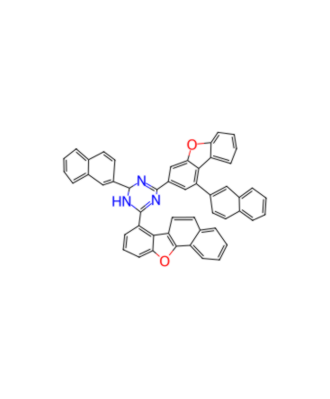 c1ccc2cc(-c3cc(C4=NC(c5ccc6ccccc6c5)NC(c5cccc6oc7c8ccccc8ccc7c56)=N4)cc4oc5ccccc5c34)ccc2c1